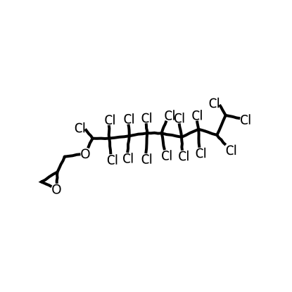 ClC(Cl)C(Cl)C(Cl)(Cl)C(Cl)(Cl)C(Cl)(Cl)C(Cl)(Cl)C(Cl)(Cl)C(Cl)(Cl)C(Cl)OCC1CO1